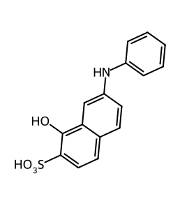 O=S(=O)(O)c1ccc2ccc(Nc3ccccc3)cc2c1O